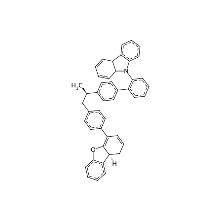 C[C@H](Cc1ccc(C2=C3Oc4ccccc4[C@@H]3CC=C2)cc1)c1ccc(-c2ccccc2N2c3ccccc3C3C=CC=CC32)cc1